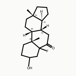 C[C@@]12[CH]CC[C@H]1[C@@H]1CC(=O)C3(F)CC(O)CC[C@]3(C)[C@@H]1CC2